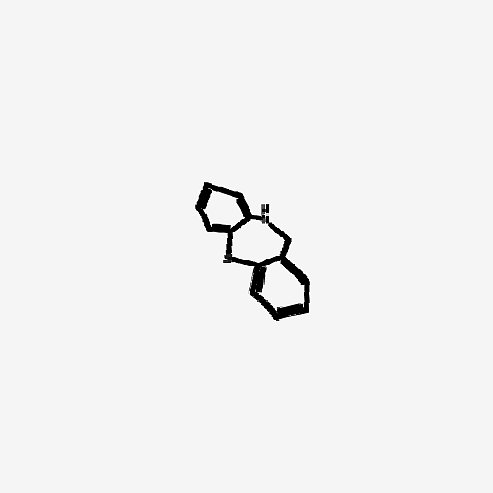 c1ccc2c(c1)CNc1ccccc1S2